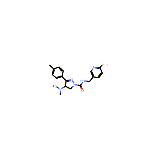 CC(=O)N(C)C1CN(C(=O)NCc2ccc(C(F)(F)F)nc2)N=C1c1ccc(C)cc1